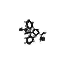 COC(=O)[C@H]1CCC(C(O[SiH2]C(C)(C)C)(c2ccccc2)c2ccccc2)O1